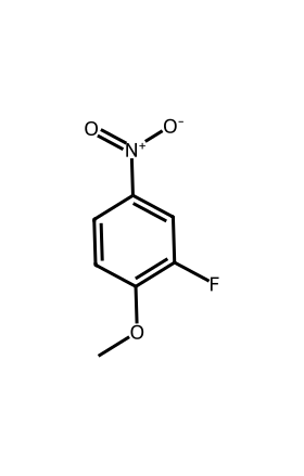 COc1ccc([N+](=O)[O-])cc1F